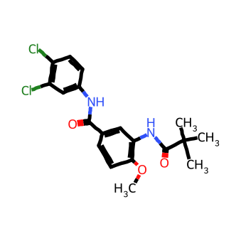 COc1ccc(C(=O)Nc2ccc(Cl)c(Cl)c2)cc1NC(=O)C(C)(C)C